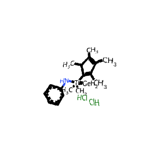 CC1=C(C)C(C)[C]([Ti]([CH3])([CH3])(=[GeH2])[NH]c2ccccc2)=C1C.Cl.Cl